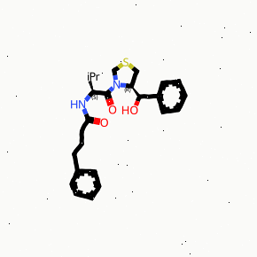 CC(C)[C@H](NC(=O)CCCc1ccccc1)C(=O)N1CSC[C@H]1C(O)c1ccccc1